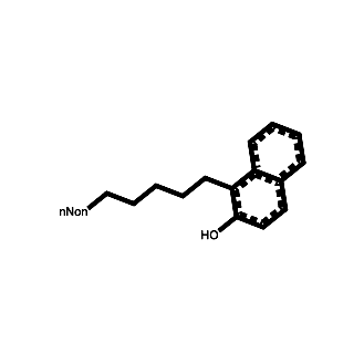 CCCCCCCCCCCCCCc1c(O)ccc2ccccc12